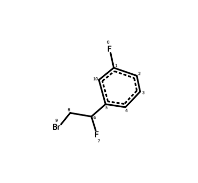 Fc1cccc(C(F)CBr)c1